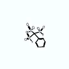 O=S(=O)(F)C(c1ccccc1)(S(=O)(=O)F)S(=O)(=O)F